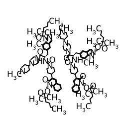 CCCCC(C)(C)C(=O)OCn1c(=O)c(C2CCN(C(=O)N[C@H](Cc3cc(C)c4c(cnn4C(=O)C(C)(C)CCCC)c3)C(=O)N3CCN(C4CCN(C)CC4)CC3)CC2)cc2ccccc21.CCCCC(C)(C)C(=O)OCn1cc2cc(C[C@@H](NC(=O)N3CCC(c4cc5ccccc5n(COC(=O)C(C)(C)CCCC)c4=O)CC3)C(=O)N3CCN(C4CCN(C)CC4)CC3)cc(C)c2n1